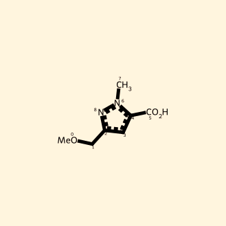 COCc1cc(C(=O)O)n(C)n1